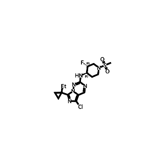 CCC1(c2nc(Cl)c3cnc(N[C@@H]4CCN(S(C)(=O)=O)C[C@H]4F)nn23)CC1